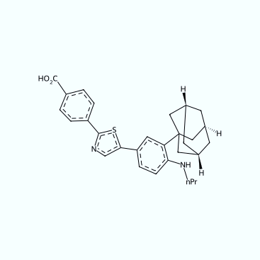 CCCNc1ccc(-c2cnc(-c3ccc(C(=O)O)cc3)s2)cc1C12C[C@H]3C[C@@H](C1)C[C@@H](C2)C3